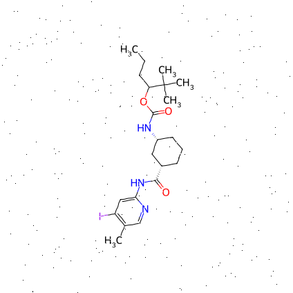 CCCC(OC(=O)N[C@@H]1CCC[C@H](C(=O)Nc2cc(I)c(C)cn2)C1)C(C)(C)C